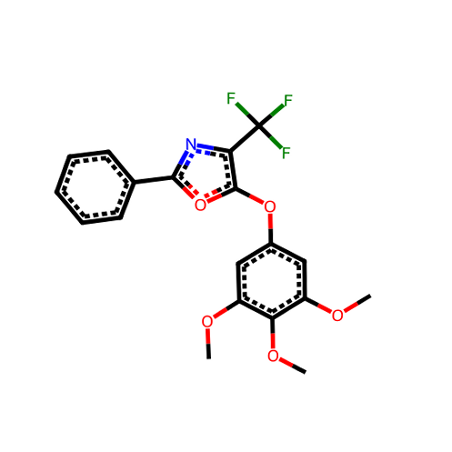 COc1cc(Oc2oc(-c3ccccc3)nc2C(F)(F)F)cc(OC)c1OC